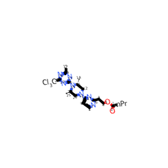 CCCC(=O)OCCc1nccc(N2C[C@@H](C)N(c3nc(C)nc(C(Cl)(Cl)Cl)n3)[C@@H](C)C2)n1